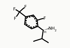 CC(C)[C@@H](N)c1ccc(C(F)(F)F)cc1F